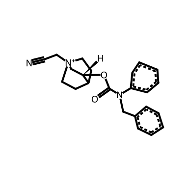 N#CC[N+]12CCC(CC1)[C@@H](OC(=O)N(Cc1ccccc1)c1ccccc1)C2